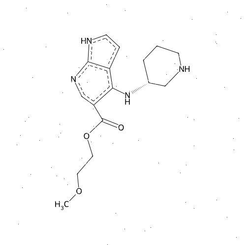 COCCOC(=O)c1cnc2[nH]ccc2c1N[C@@H]1CCCNC1